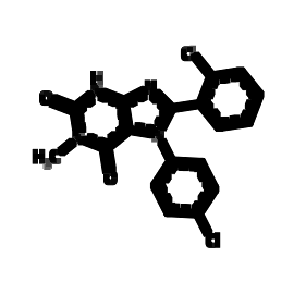 Cn1c(=O)[nH]c2nc(-c3ccccc3Cl)n(-c3ccc(Cl)cc3)c2c1=O